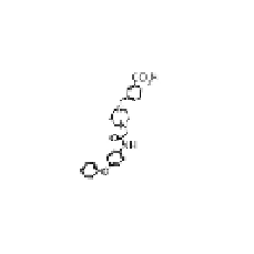 O=C(CN1CCCN(Cc2cccc(C(=O)O)c2)CC1)Nc1ccc(Oc2ccccc2)cc1